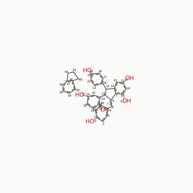 Oc1ccc(/C=C2/c3c(O)cc(O)cc3C(c3ccc(O)cc3)C2c2cc(O)ccc2O)cc1.c1ccc2c(c1)CCC2